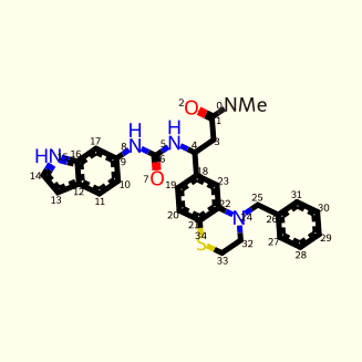 CNC(=O)CC(NC(=O)Nc1ccc2cc[nH]c2c1)c1ccc2c(c1)N(Cc1ccccc1)CCS2